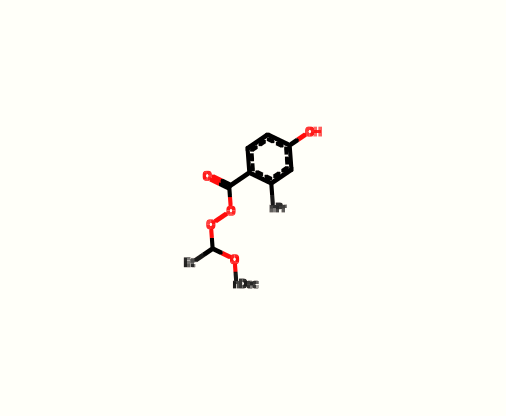 CCCCCCCCCCOC(CC)OOC(=O)c1ccc(O)cc1CCC